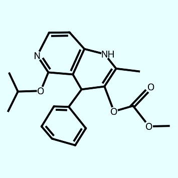 COC(=O)OC1=C(C)Nc2ccnc(OC(C)C)c2C1c1ccccc1